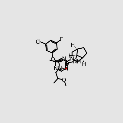 COC(C)Cn1nc(N[C@H]2[C@@H]3CC[C@H]2CN(c2cc(C)ncn2)C3)nc1Oc1cc(F)cc(Cl)c1